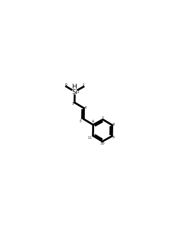 C[SiH](C)CC=Cc1ccccc1